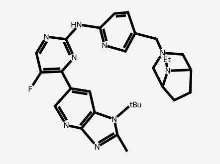 CCN1C2CCC1CN(Cc1ccc(Nc3ncc(F)c(-c4cnc5nc(C)n(C(C)(C)C)c5c4)n3)nc1)C2